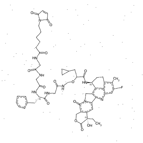 CC[C@@]1(O)C(=O)OCc2c1cc1n(c2=O)Cc2c-1nc1cc(F)c(C)c3c1c2[C@@H](NC(=O)C(CC1CC1)OCNC(=O)CNC(=O)[C@H](Cc1ccccc1)NC(=O)CNC(=O)CNC(=O)CCCCCN1C(=O)C=CC1=O)CC3